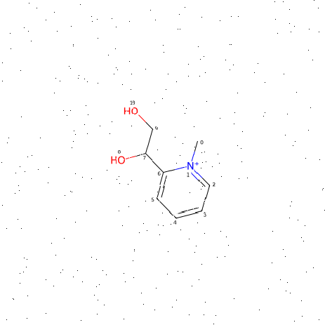 C[n+]1ccccc1C(O)CO